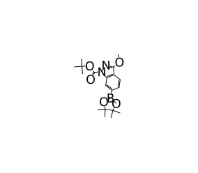 COc1nn(C(=O)OC(C)(C)C)c2cc(B3OC(C)(C)C(C)(C)O3)ccc12